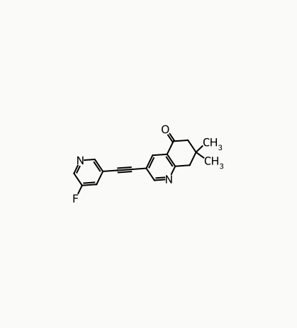 CC1(C)CC(=O)c2cc(C#Cc3cncc(F)c3)cnc2C1